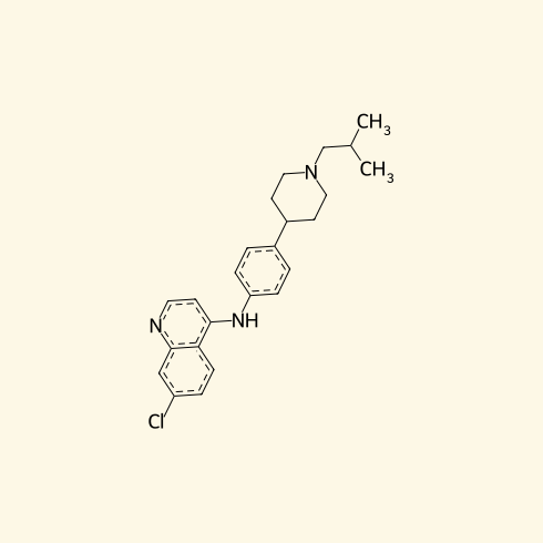 CC(C)CN1CCC(c2ccc(Nc3ccnc4cc(Cl)ccc34)cc2)CC1